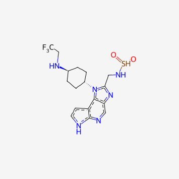 O=[SH](=O)NCc1nc2cnc3[nH]ccc3c2n1[C@H]1CC[C@H](NCC(F)(F)F)CC1